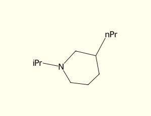 CCCC1CCCN(C(C)C)C1